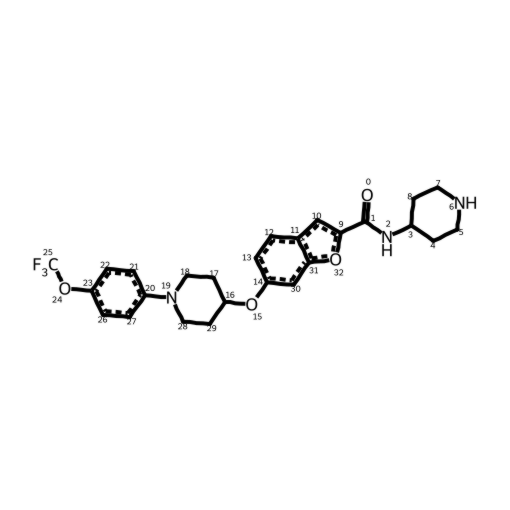 O=C(NC1CCNCC1)c1cc2ccc(OC3CCN(c4ccc(OC(F)(F)F)cc4)CC3)cc2o1